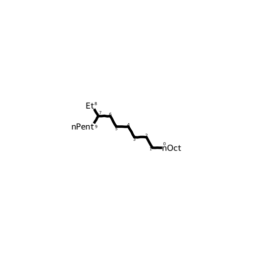 [CH2]CCCCCCCCCCCCCC(CC)CCCC[CH2]